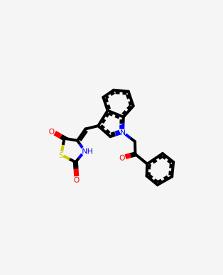 O=C1NC(=Cc2cn(CC(=O)c3ccccc3)c3ccccc23)C(=O)S1